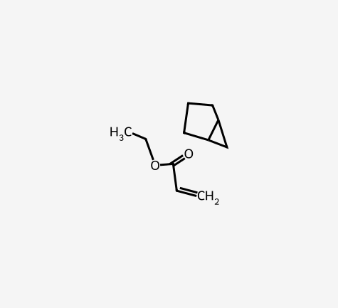 C1CC2CC2C1.C=CC(=O)OCC